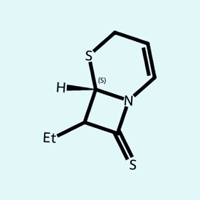 CCC1C(=S)N2C=CCS[C@@H]12